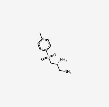 Cc1ccc(S(=O)(=O)C[C@H](N)CN)cc1